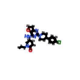 CCCN1C[C@@H](Nc2nc(N3CCC(c4ccc(Cl)cc4)CC3)nc3c2OCC3)CCC1=O